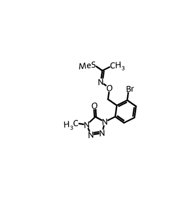 CSC(C)=NOCc1c(Br)cccc1-n1nnn(C)c1=O